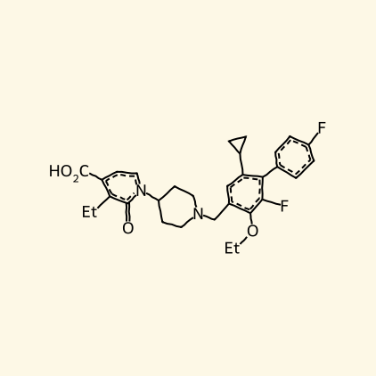 CCOc1c(CN2CCC(n3ccc(C(=O)O)c(CC)c3=O)CC2)cc(C2CC2)c(-c2ccc(F)cc2)c1F